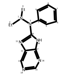 CCN(CC)N(c1ccccc1)c1nc2cncnc2[nH]1